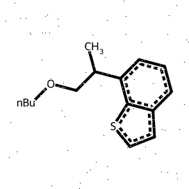 [CH2]CCCOCC(C)c1cccc2ccsc12